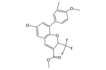 COC(=O)C1=Cc2cc(Cl)cc(-c3ccc(OC)c(C)c3)c2OC1C(F)(F)F